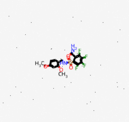 COc1ccc(CNS(=O)(=O)c2c(F)c(F)c(F)c(F)c2C(N)=O)c(OC)c1